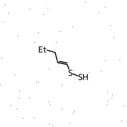 CCCC=CSS